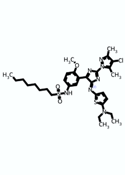 CCCCCCCCS(=O)(=O)Nc1ccc(OC)c(C2=NC(n3nc(C)c(Cl)c3C)=N/C2=N\c2ccc(N(CC)CC)s2)c1